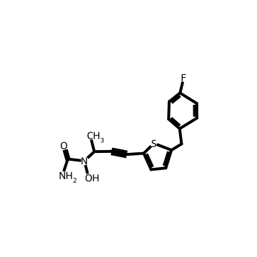 CC(C#Cc1ccc(Cc2ccc(F)cc2)s1)N(O)C(N)=O